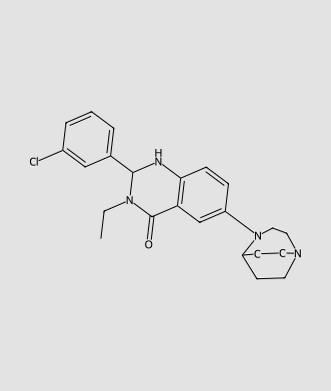 CCN1C(=O)c2cc(N3CCN4CCC3CC4)ccc2NC1c1cccc(Cl)c1